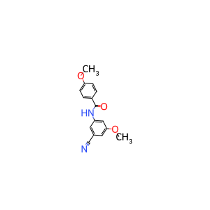 COc1ccc(C(=O)Nc2cc(C#N)cc(OC)c2)cc1